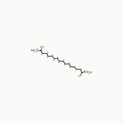 O=C(O)C(Cl)CCCCCCCCCCCCCCC(Cl)C(=O)O